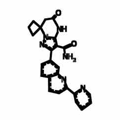 NC(=O)c1c(-c2ccc3ccc(-c4ccccn4)nc3c2)nn2c1NC(=O)CC21CCC1